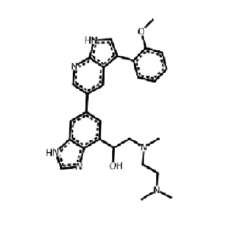 COc1ccccc1-c1c[nH]c2ncc(-c3cc(C(O)CN(C)CCN(C)C)c4nc[nH]c4c3)cc12